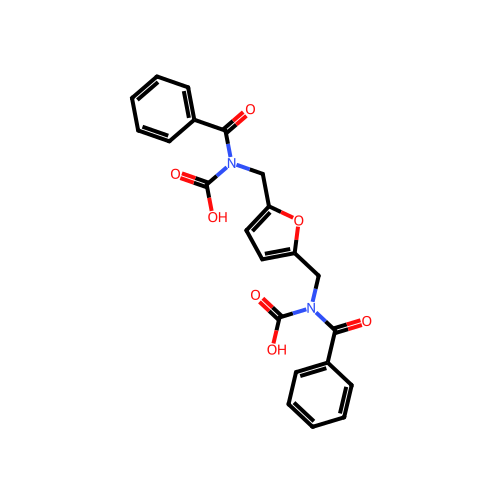 O=C(O)N(Cc1ccc(CN(C(=O)O)C(=O)c2ccccc2)o1)C(=O)c1ccccc1